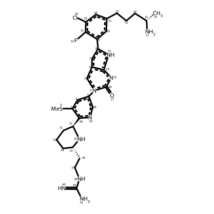 CSc1cc(-n2cc3cc(-c4cc(CCC[C@H](C)N)cc(Cl)c4F)[nH]c3nc2=O)cnc1[C@@H]1CCC[C@@H](CCNC(=N)N)N1